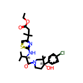 CCOC(=O)CC(C)(C)c1csc(N[C@@H](C(=O)N2CC[C@](O)(c3ccc(Cl)cc3)C(C)(C)C2)C(C)C)n1